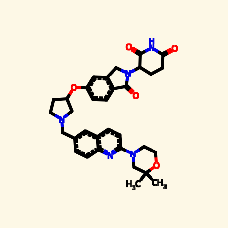 CC1(C)CN(c2ccc3cc(CN4CCC(Oc5ccc6c(c5)CN(C5CCC(=O)NC5=O)C6=O)C4)ccc3n2)CCO1